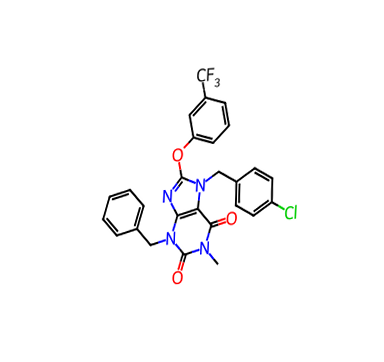 Cn1c(=O)c2c(nc(Oc3cccc(C(F)(F)F)c3)n2Cc2ccc(Cl)cc2)n(Cc2ccccc2)c1=O